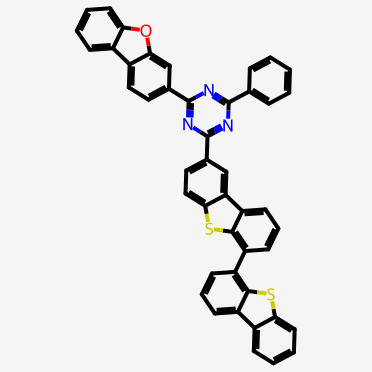 c1ccc(-c2nc(-c3ccc4c(c3)oc3ccccc34)nc(-c3ccc4sc5c(-c6cccc7c6sc6ccccc67)cccc5c4c3)n2)cc1